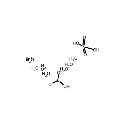 O.O.O.O.O.O.O.O=S(=O)(O)O.[O-]B([O-])O.[Zn+2]